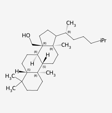 CC(C)CCC[C@@H](C)C1CC[C@@]2(CO)[C@@H]3CC[C@H]4C(C)(C)CCC[C@]4(C)[C@H]3CC[C@]12C